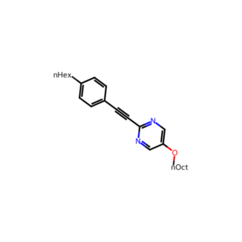 CCCCCCCCOc1cnc(C#Cc2ccc(CCCCCC)cc2)nc1